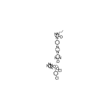 CCCn1ncn(-c2ccc(N3CCN(c4cnc(OC[C@@H]5CO[C@@](Cn6cnnn6)(c6ccc(Cl)cc6Cl)O5)nc4)CC3)cc2)c1=O